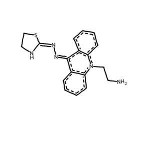 NCCn1c2ccccc2c(=NN=C2NCCS2)c2ccccc21